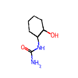 NC(=O)NC1CCCCC1O